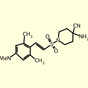 CNc1cc(C)c(/C=C/S(=O)(=O)N2CCC(N)(C#N)CC2)c(C)c1